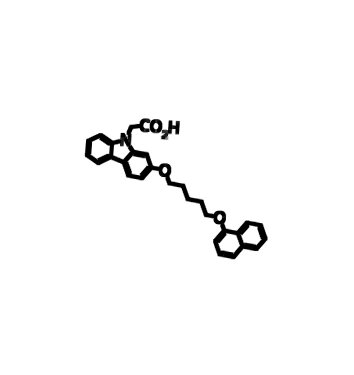 O=C(O)Cn1c2ccccc2c2ccc(OCCCCCOc3cccc4ccccc34)cc21